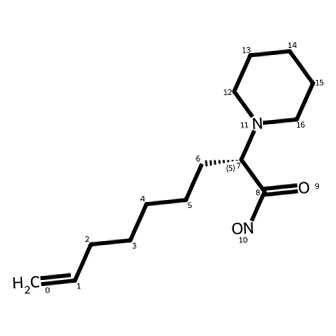 C=CCCCCC[C@@H](C(=O)N=O)N1CCCCC1